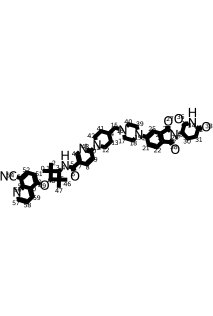 CC1(C)C(NC(=O)c2ccc(N3CCC(CN4CCN(c5ccc6c(c5)C(=O)N([C@H]5CCC(=O)NC5=O)C6=O)CC4)CC3)nc2)C(C)(C)C1Oc1ccc(C#N)c2ncccc12